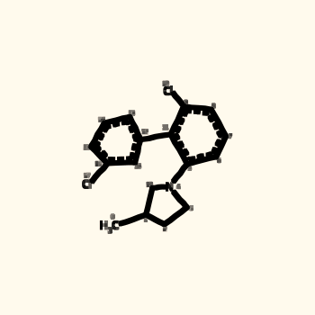 CC1CCN(c2cccc(Cl)c2-c2cccc(Cl)c2)C1